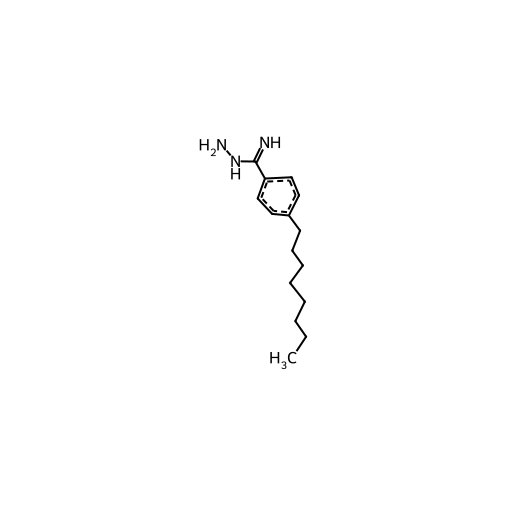 CCCCCCCCc1ccc(C(=N)NN)cc1